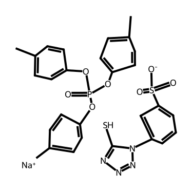 Cc1ccc(OP(=O)(Oc2ccc(C)cc2)Oc2ccc(C)cc2)cc1.O=S(=O)([O-])c1cccc(-n2nnnc2S)c1.[Na+]